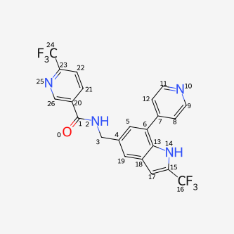 O=C(NCc1cc(-c2ccncc2)c2[nH]c(C(F)(F)F)cc2c1)c1ccc(C(F)(F)F)nc1